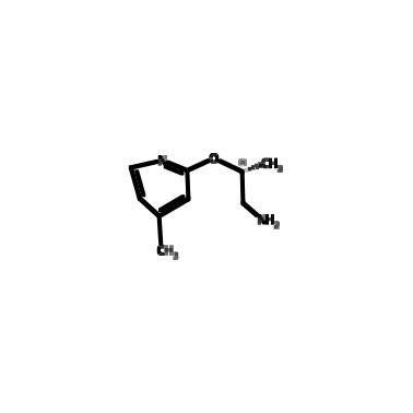 Cc1ccnc(O[C@H](C)CN)c1